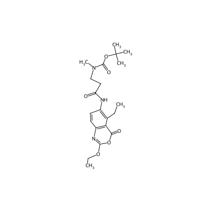 CCOc1nc2ccc(NC(=O)CCN(C)C(=O)OC(C)(C)C)c(CC)c2c(=O)o1